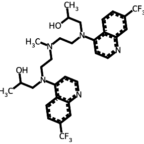 CC(O)CN(CCN(C)CCN(CC(C)O)c1ccnc2cc(C(F)(F)F)ccc12)c1ccnc2cc(C(F)(F)F)ccc12